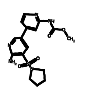 COC(=O)Nc1cc(-c2cnc(N)c(S(=O)(=O)N3CCCC3)c2)ccn1